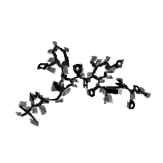 COC(=O)N(C)N(C)C(=O)c1cc(Cl)cc(C)c1NC(=O)c1cc(Cn2cc(C(C)(C)C)nn2)nn1-c1ncccc1Cl